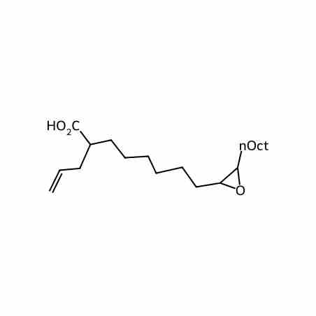 C=CCC(CCCCCCC1OC1CCCCCCCC)C(=O)O